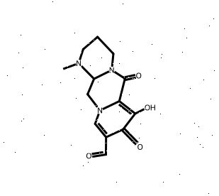 CN1CCCN2C(=O)c3c(O)c(=O)c(C=O)cn3CC12